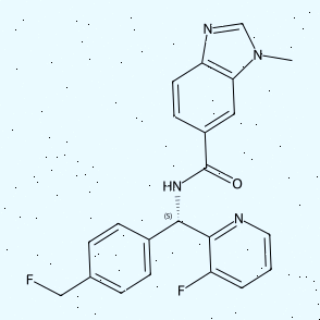 Cn1cnc2ccc(C(=O)N[C@@H](c3ccc(CF)cc3)c3ncccc3F)cc21